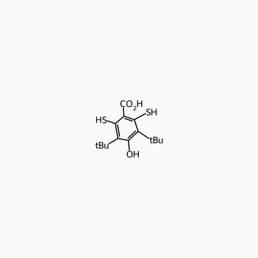 CC(C)(C)c1c(O)c(C(C)(C)C)c(S)c(C(=O)O)c1S